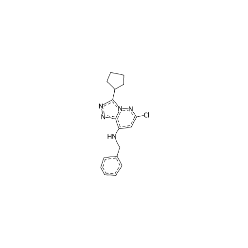 Clc1cc(NCc2ccccc2)c2nnc(C3CCCC3)n2n1